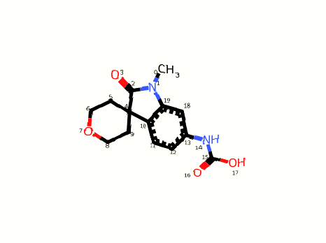 CN1C(=O)C2(CCOCC2)c2ccc(NC(=O)O)cc21